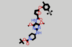 COc1nc(NC2CCN(C(=O)OC(C)(C)C)CC2)nc(OC)c1NC(=O)c1ccc(Oc2cc([Si](C)(C)C)ccc2C)o1